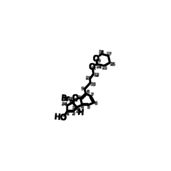 OC1=C[C@@H]2c3cccc(CCCCOC4CCCCO4)c3O[C@]2(Br)C1